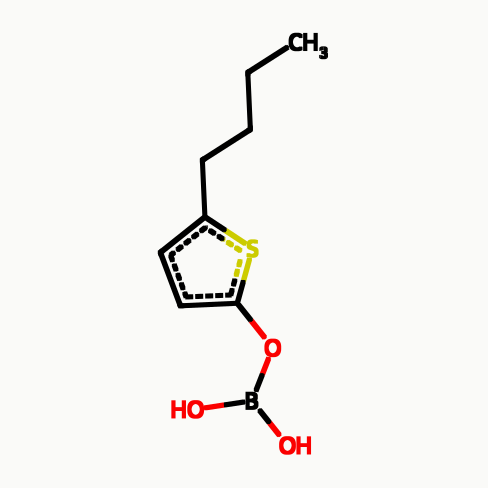 CCCCc1ccc(OB(O)O)s1